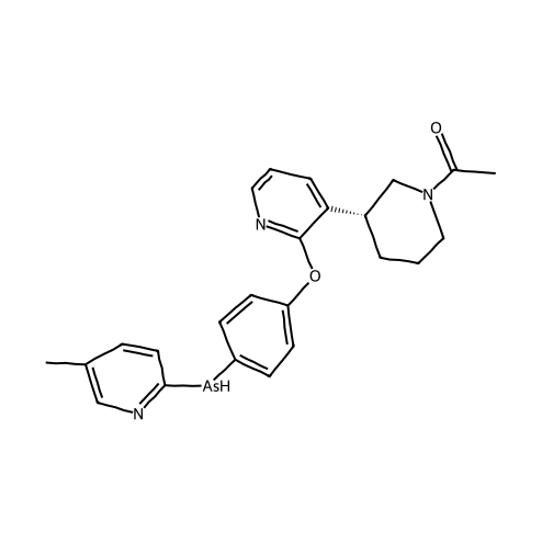 CC(=O)N1CCC[C@H](c2cccnc2Oc2ccc([AsH]c3ccc(C)cn3)cc2)C1